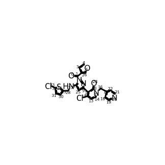 O=C(c1ccoc1)n1nc(-c2c(Cl)ccn(Cc3ccncc3)c2=O)cc1NCc1ccc(Cl)s1